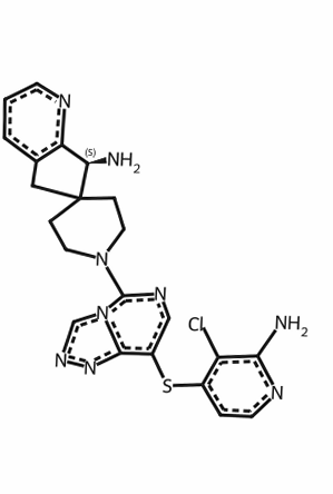 Nc1nccc(Sc2cnc(N3CCC4(CC3)Cc3cccnc3[C@H]4N)n3cnnc23)c1Cl